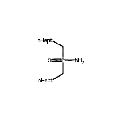 CCCCCCCCP(N)(=O)CCCCCCCC